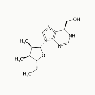 CC[C@H]1O[C@@H](n2cnc3c2N=CN[C@@H]3CO)[C@H](C)[C@@H]1C